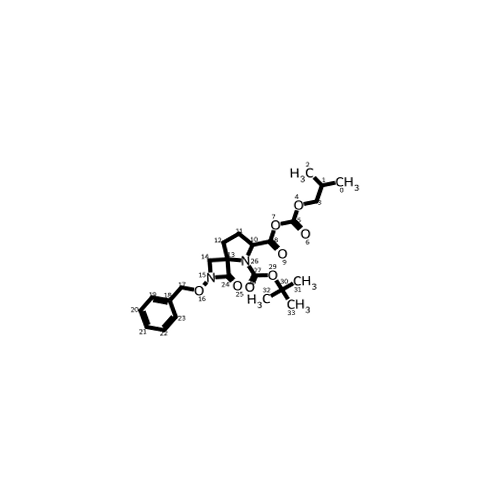 CC(C)COC(=O)OC(=O)C1CCC2(CN(OCc3ccccc3)C2=O)N1C(=O)OC(C)(C)C